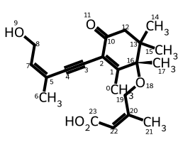 CC1=C(C#C/C(C)=C\CO)C(=O)CC(C)(C)[C@]1(C)OC/C(C)=C\C(=O)O